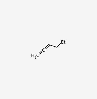 [CH2]CCC=C=C